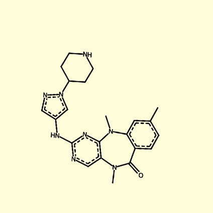 Cc1ccc2c(c1)N(C)c1nc(Nc3cnn(C4CCNCC4)c3)ncc1N(C)C2=O